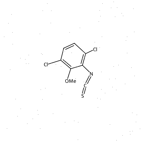 COc1c(Cl)ccc(Cl)c1N=C=S